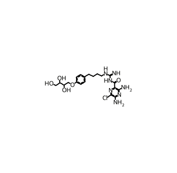 N=C(NCCCCc1ccc(OCC(O)C(O)CO)cc1)NC(=O)c1nc(Cl)c(N)nc1N